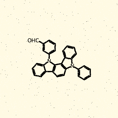 O=Cc1cccc(-n2c3ccccc3c3ccc4c(c5ccccc5n4-c4ccccc4)c32)c1